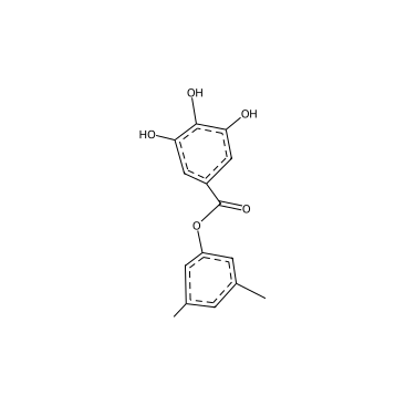 Cc1cc(C)cc(OC(=O)c2cc(O)c(O)c(O)c2)c1